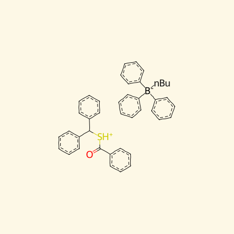 CCCC[B-](c1ccccc1)(c1ccccc1)c1ccccc1.O=C([SH+]C(c1ccccc1)c1ccccc1)c1ccccc1